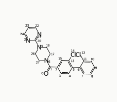 O=C(c1ccc(-c2ccccc2Cl)c(Cl)c1)N1CCN(c2ncccn2)CC1